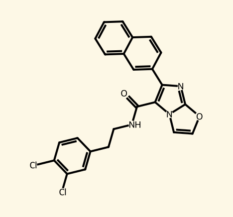 O=C(NCCc1ccc(Cl)c(Cl)c1)c1c(-c2ccc3ccccc3c2)nc2occn12